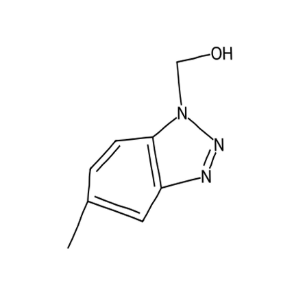 Cc1ccc2c(c1)nnn2CO